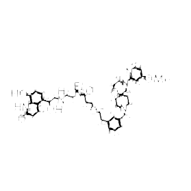 CCN(CCNCC(O)c1ccc(O)c2[nH]c(=O)ccc12)C(=O)CCOCCc1cccc(CN2CCC3(CC2)CN(c2cc(OC)ccn2)CCO3)c1